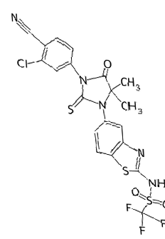 CC1(C)C(=O)N(c2ccc(C#N)c(Cl)c2)C(=S)N1c1ccc2sc(NS(=O)(=O)C(F)(F)F)nc2c1